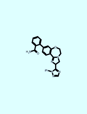 CC(C)n1ncnc1C1CN2CCOc3cc(-c4ccccc4C(N)=O)ccc3C2=N1